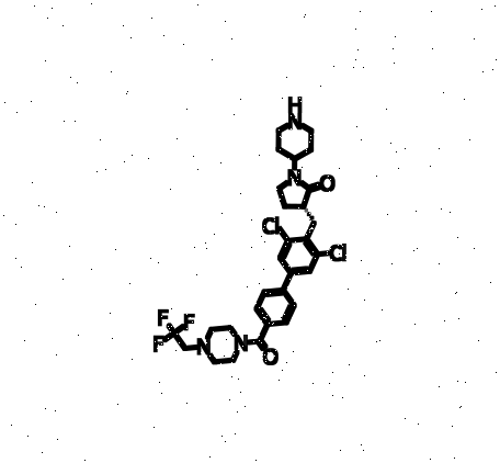 O=C(c1ccc(-c2cc(Cl)c(C[C@@H]3CCN(C4CCNCC4)C3=O)c(Cl)c2)cc1)N1CCN(CC(F)(F)F)CC1